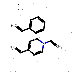 C=CC1=CCN(C=C)C=C1.C=Cc1ccccc1